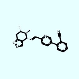 C[C@H]1[C@H](/C=C/c2ccc(-c3ccccc3C#N)cn2)c2cnoc2C[C@@H]1C